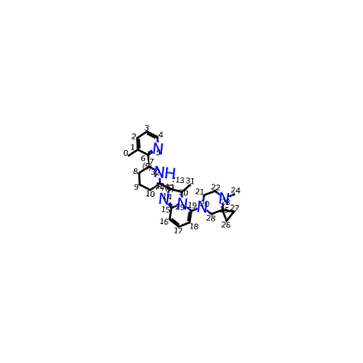 Cc1cccnc1[C@@H]1CCC[C@H]([C@]2(C)N=C3C=CC=C(N4CCN(C)C5(CC5)C4)N3C2C)N1